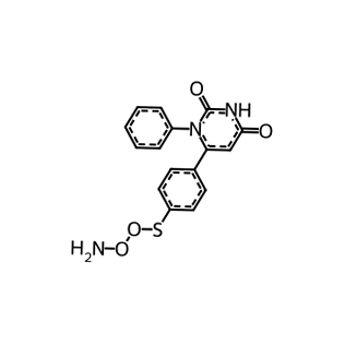 NOOSc1ccc(-c2cc(=O)[nH]c(=O)n2-c2ccccc2)cc1